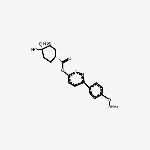 CCCCCCC[C@]1(C#N)CC[C@H](C(=O)Oc2ccc(-c3ccc(OCCCCCC)cc3)nn2)CC1